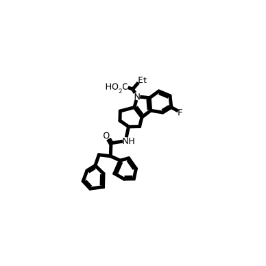 CCC(C(=O)O)n1c2c(c3cc(F)ccc31)CC(NC(=O)C(Cc1ccccc1)c1ccccc1)CC2